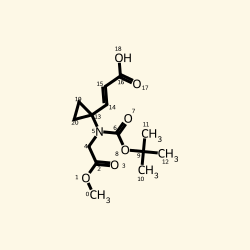 COC(=O)CN(C(=O)OC(C)(C)C)C1(C=CC(=O)O)CC1